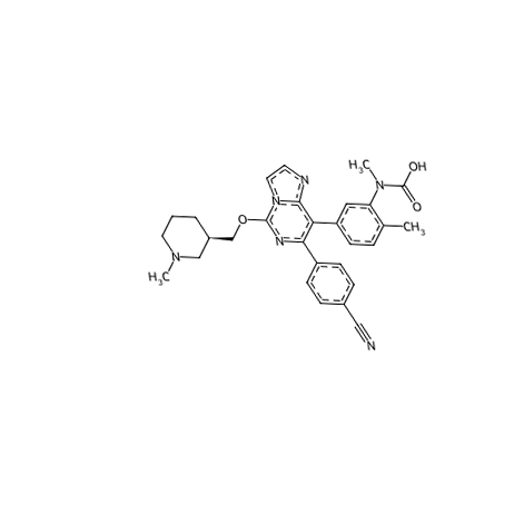 Cc1ccc(-c2c(-c3ccc(C#N)cc3)nc(OC[C@@H]3CCCN(C)C3)n3ccnc23)cc1N(C)C(=O)O